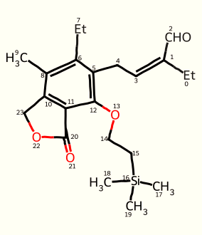 CCC(C=O)=CCc1c(CC)c(C)c2c(c1OCC[Si](C)(C)C)C(=O)OC2